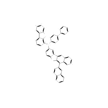 c1ccc(-c2ccc(N(c3ccc4oc5c(-c6ccc7ccccc7c6)c6ccccc6cc5c4c3)c3cccc4c3oc3ccccc34)cc2)cc1